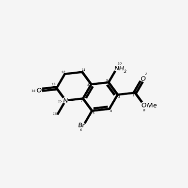 COC(=O)c1cc(Br)c2c(c1N)CCC(=O)N2C